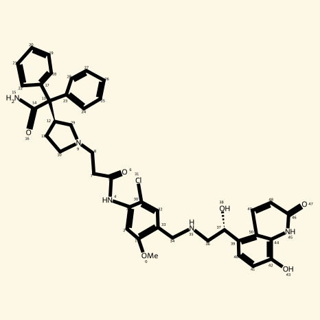 COc1cc(NC(=O)CCN2CC[C@@H](C(C(N)=O)(c3ccccc3)c3ccccc3)C2)c(Cl)cc1CNC[C@H](O)c1ccc(O)c2[nH]c(=O)ccc12